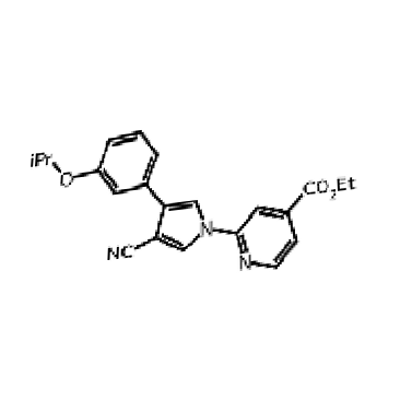 CCOC(=O)c1ccnc(-n2cc(C#N)c(-c3cccc(OC(C)C)c3)c2)c1